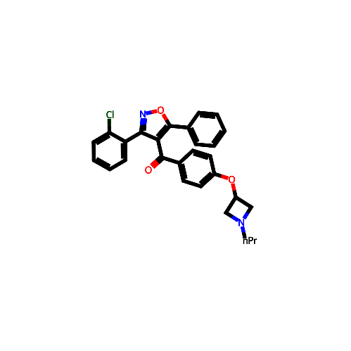 CCCN1CC(Oc2ccc(C(=O)c3c(-c4ccccc4Cl)noc3-c3ccccc3)cc2)C1